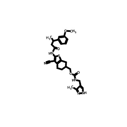 COc1cccc(C(C)CC(=O)Nc2sc3c(c2C#N)CCC(COC(=O)NCc2c[nH]nc2C)C3)c1